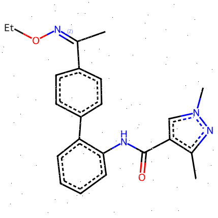 CCO/N=C(/C)c1ccc(-c2ccccc2NC(=O)c2cn(C)nc2C)cc1